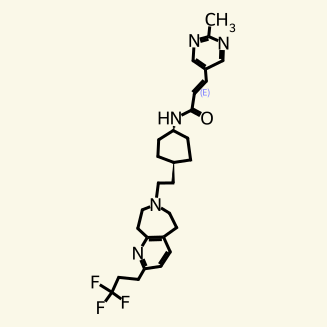 Cc1ncc(/C=C/C(=O)N[C@H]2CC[C@H](CCN3CCc4ccc(CCC(F)(F)F)nc4CC3)CC2)cn1